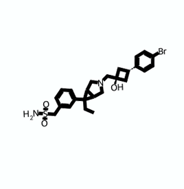 CCC1(c2cccc(CS(N)(=O)=O)c2)C2CN(C[C@]3(O)C[C@H](c4ccc(Br)cc4)C3)CC21